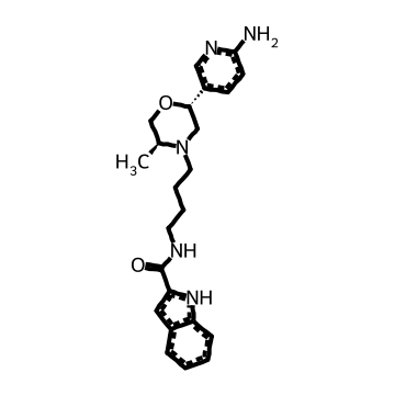 C[C@H]1CO[C@H](c2ccc(N)nc2)CN1CCCCNC(=O)c1cc2ccccc2[nH]1